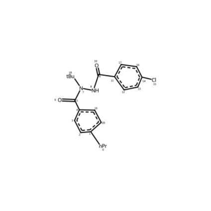 CCCc1ccc(C(=O)N(NC(=O)c2ccc(Cl)cc2)C(C)(C)C)cc1